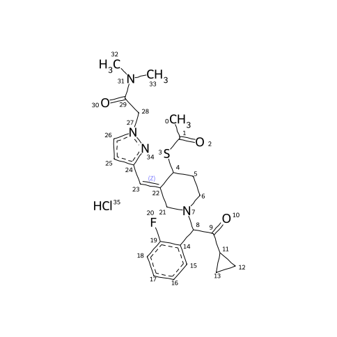 CC(=O)SC1CCN(C(C(=O)C2CC2)c2ccccc2F)C/C1=C/c1ccn(CC(=O)N(C)C)n1.Cl